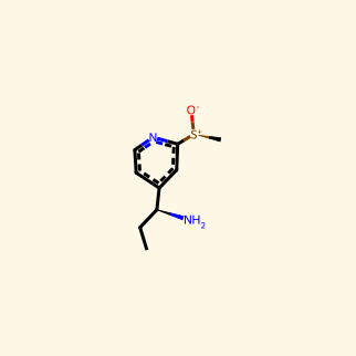 CC[C@H](N)c1ccnc([S@+](C)[O-])c1